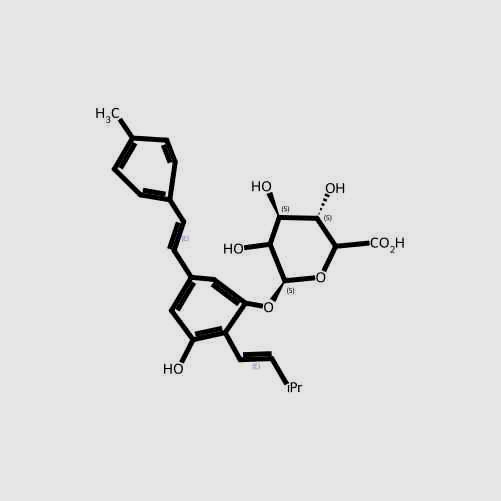 Cc1ccc(/C=C/c2cc(O)c(/C=C/C(C)C)c(O[C@@H]3OC(C(=O)O)[C@@H](O)[C@H](O)C3O)c2)cc1